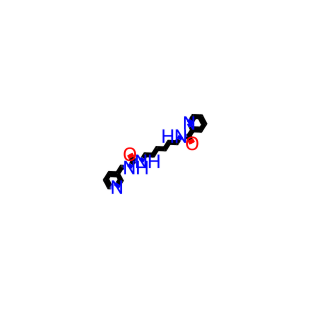 O=C(NCCCCCCNC(=O)c1ccccn1)NCc1cccnc1